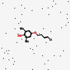 CCC=CCCOc1cc(C(C)(C)C)c(O)c(C(C)(C)C)c1